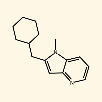 Cn1c(CC2CCCCC2)cc2ncccc21